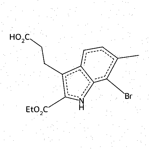 CCOC(=O)c1[nH]c2c(Br)c(C)ccc2c1CCC(=O)O